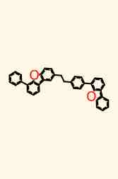 c1ccc(-c2cccc3c2oc2ccc(CCc4ccc(-c5cccc6c5oc5ccccc56)cc4)cc23)cc1